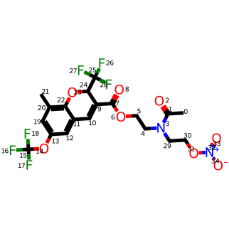 CC(=O)N(CCOC(=O)C1=Cc2cc(OC(F)(F)F)cc(C)c2OC1C(F)(F)F)CCO[N+](=O)[O-]